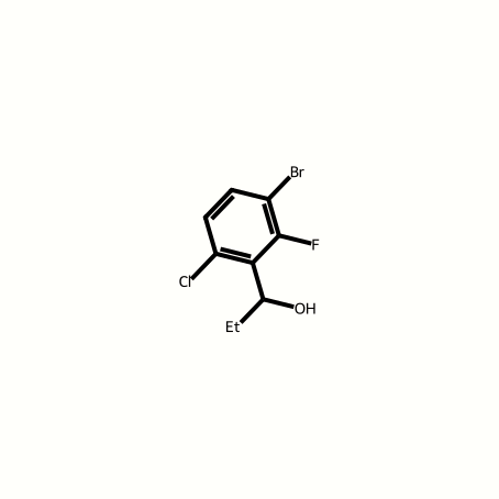 CCC(O)c1c(Cl)ccc(Br)c1F